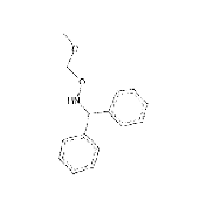 COCONC(c1ccccc1)c1ccccc1